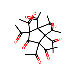 CC(=O)C1(C(C)=O)C(=O)C(C(C)=O)(C(C)=O)C(C(C)=O)(C(C)=O)C1(C(C)=O)C(C)=O